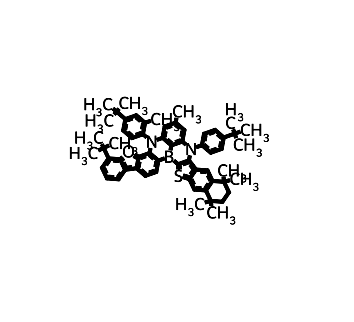 Cc1cc2c3c(c1)N(c1ccc(C(C)(C)C)cc1C)c1c(ccc4c1oc1c(C(C)(C)C)cccc14)B3c1sc3cc4c(cc3c1N2c1ccc(C(C)(C)C)cc1)C(C)(C)CCC4(C)C